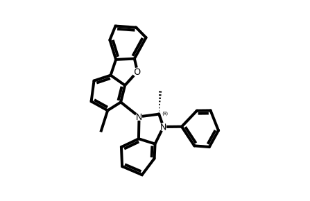 Cc1ccc2c(oc3ccccc32)c1N1c2ccccc2N(c2ccccc2)[C@H]1C